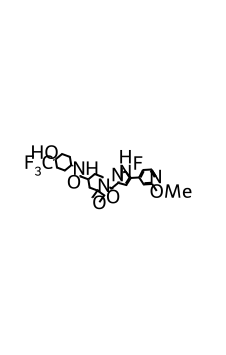 COc1cc(-c2cc(C(=O)N3CCC(C(=O)N[C@H]4CC[C@@](O)(C(F)(F)F)CC4)CC34COC4)n[nH]2)c(F)cn1